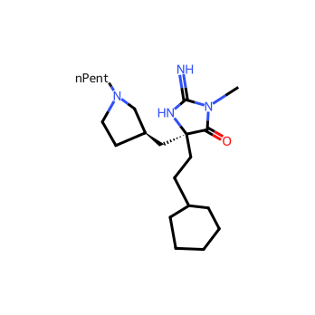 CCCCCN1CC[C@H](C[C@]2(CCC3CCCCC3)NC(=N)N(C)C2=O)C1